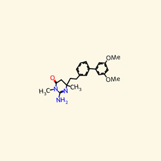 COc1cc(OC)cc(-c2cccc(CCC3(C)CC(=O)N(C)C(N)=N3)c2)c1